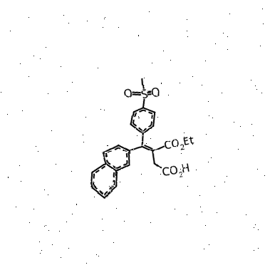 CCOC(=O)C(CC(=O)O)=C(c1ccc(S(C)(=O)=O)cc1)c1ccc2ccccc2c1